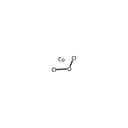 ClOCl.[Co]